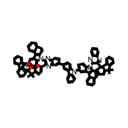 CC1(C)c2ccccc2-c2cc(-c3nc4cc(-c5ccc6c(c5)c5ccccc5n6-c5ccc6c(c5)c5c7ccccc7ccc5n6-c5nc6ccccc6nc5-c5cccc6c5-c5ccccc5C6(C)C)ccc4nc3-n3c4ccc(-n5c6ccccc6c6ccccc65)cc4c4c5ccccc5ccc43)ccc21